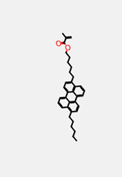 C=C(C)C(=O)OCCCCCCc1ccc2c3cccc4c(CCCCCC)ccc(c5cccc1c52)c43